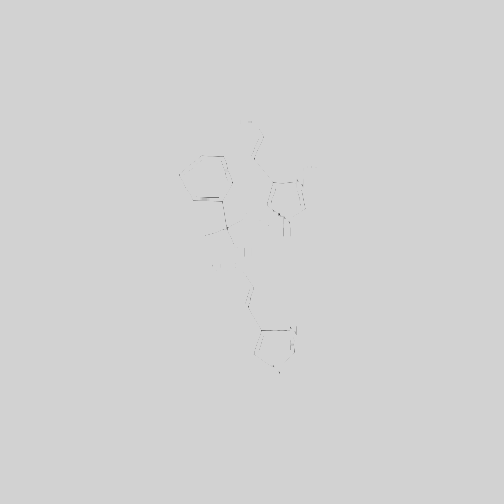 CC(O)(C(=O)O)c1ccccc1.O=C([O-])C=Cc1c[nH]cn1.O=C([O-])C=Cc1c[nH]cn1.[Se+2]